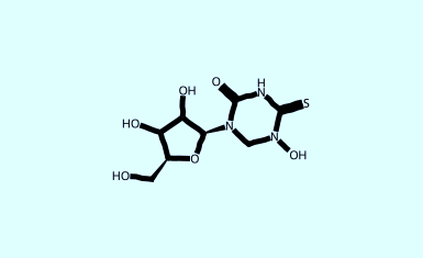 O=C1NC(=S)N(O)CN1[C@H]1O[C@@H](CO)C(O)C1O